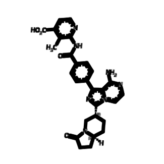 Cc1c(C(=O)O)ccnc1NC(=O)c1ccc(-c2nc([C@@H]3CC[C@H]4CCC(=O)N4C3)n3ccnc(N)c23)cc1